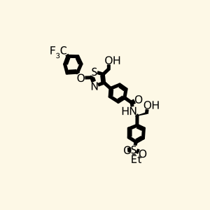 CCS(=O)(=O)c1ccc([C@H](CO)NC(=O)c2ccc(-c3nc(Oc4ccc(C(F)(F)F)cc4)sc3CO)cc2)cc1